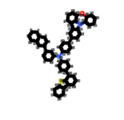 c1cc(-c2ccc3ccccc3c2)cc(N(c2ccc(-c3ccc4c(c3)c3cccc5c3n4-c3ccccc3O5)cc2)c2ccc(-c3cccc4c3sc3ccccc34)cc2)c1